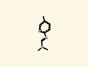 Cc1ccc(N=CN(C)C)nc1